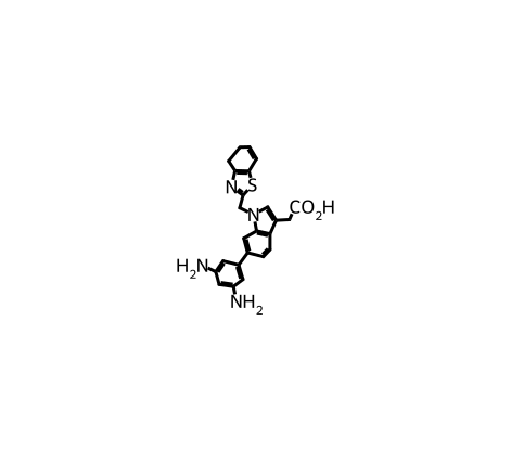 Nc1cc(N)cc(-c2ccc3c(CC(=O)O)cn(Cc4nc5c(s4)C=CCC5)c3c2)c1